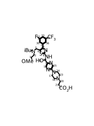 CCC(C)N(CCOC)Cc1sc(NC(O)c2cnc(N3CCN(CCC(=O)O)CC3)cn2)nc1-c1cc(F)cc(C(F)(F)F)c1